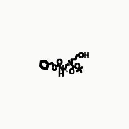 C[C@@H](CN(CCCO)C(=O)OC(C)(C)C)NC(=O)OCc1ccccc1